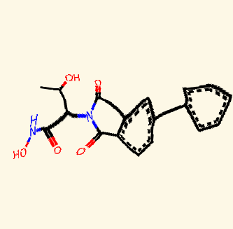 CC(O)C(C(=O)NO)N1C(=O)c2ccc(-c3ccccc3)cc2C1=O